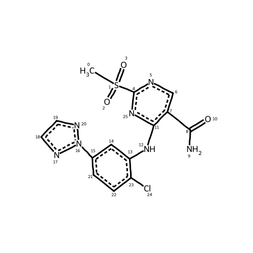 CS(=O)(=O)c1ncc(C(N)=O)c(Nc2cc(-n3nccn3)ccc2Cl)n1